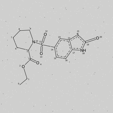 CCOC(=O)C1CCCCN1S(=O)(=O)c1ccc2[nH]c(=O)sc2c1